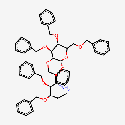 CC[C@@H](OCc1ccccc1)[C@@H](OCc1ccccc1)[C@@H](N)CO[C@H]1OC(COCc2ccccc2)[C@H](OCc2ccccc2)[C@H](OCc2ccccc2)C1OCc1ccccc1